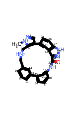 Cn1ncc2c1CNCc1cccc(c1)-c1cccc(c1)NC(=O)c1n[nH]c3ccc-2cc13